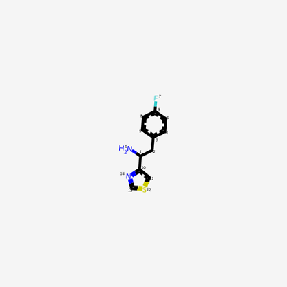 NC(Cc1ccc(F)cc1)c1cs[c]n1